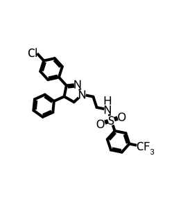 O=S(=O)(NCCN1CC(c2ccccc2)C(c2ccc(Cl)cc2)=N1)c1cccc(C(F)(F)F)c1